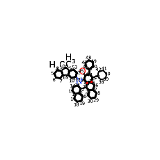 CC1(C)c2ccccc2-c2cc(N(c3ccc4ccccc4c3-c3cccc4ccccc34)c3ccc(C4CCCCC4)c4c3oc3ccccc34)ccc21